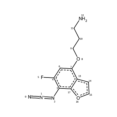 [N-]=[N+]=Nc1c(F)cc(OCCCN)c2ccoc12